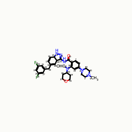 CN1CCN(c2ccc(C(=O)NC3=NNC4C=CC(Cc5cc(F)cc(F)c5)=CC34)c(N(C=O)C3CCOCC3)c2)CC1